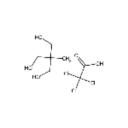 CC(CO)(CO)CO.O=C(O)C(Cl)(Cl)Cl